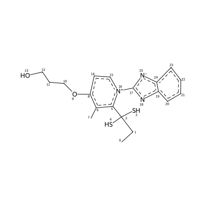 CCC(S)(S)c1c(C)c(OCCCO)cc[n+]1-c1nc2ccccc2[n-]1